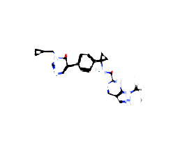 CC(C)n1ncc2cnc(C(=O)NC3(c4ccc(-c5cncn(CC6CC6)c5=O)cc4)CC3)nc21